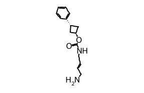 NC/C=C/CNC(=O)O[C@H]1C[C@H](c2ccccc2)C1